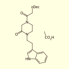 CC(=O)O.CCCCCCCCCCCC(=O)N1CCN(CCc2c[nH]c3ccccc23)C(=O)C1